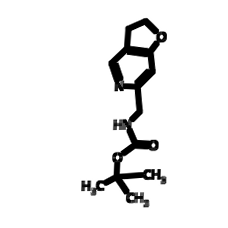 CC(C)(C)OC(=O)NCc1cc2c(cn1)CCO2